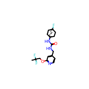 CC(F)(F)COc1cc(CNC(=O)NC23CCC(F)(CC2)CC3)ccn1